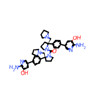 Nc1ncc(-c2ccc([C@@]3(CN4CCCC4)CCCN3C(=O)N3CCC[C@]3(CN3CCCC3)c3ccc(-c4cnc(N)c(O)c4)cc3)cc2)cc1O